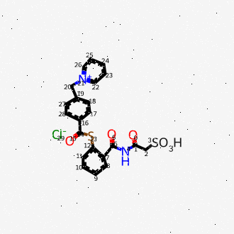 O=C(CS(=O)(=O)O)NC(=O)c1ccccc1SC(=O)c1ccc(C[n+]2ccccc2)cc1.[Cl-]